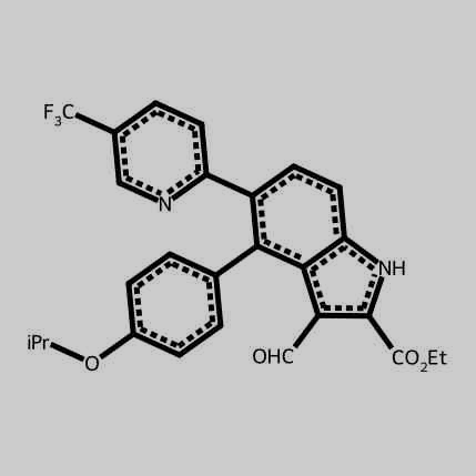 CCOC(=O)c1[nH]c2ccc(-c3ccc(C(F)(F)F)cn3)c(-c3ccc(OC(C)C)cc3)c2c1C=O